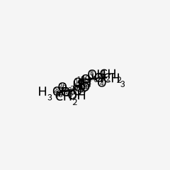 C=C(C)C(=O)OCC(O)CO[C@@H]1CO[C@H]2[C@@H]1OC[C@@H]2OC[C@@H](O)COC(=O)C(=C)C